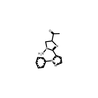 CC(=O)C1CN(N)C(c2ccnn2-c2ccccc2)=N1